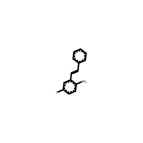 Nc1ccc(F)cc1C=Cc1ccccc1